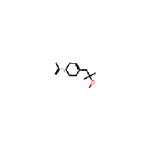 C=C(C)[C@@H]1CC=C(CC(C)(C)OC)CC1